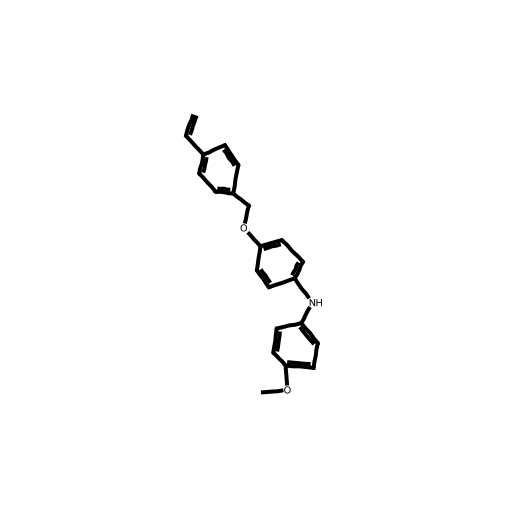 C=Cc1ccc(COc2ccc(Nc3ccc(OC)cc3)cc2)cc1